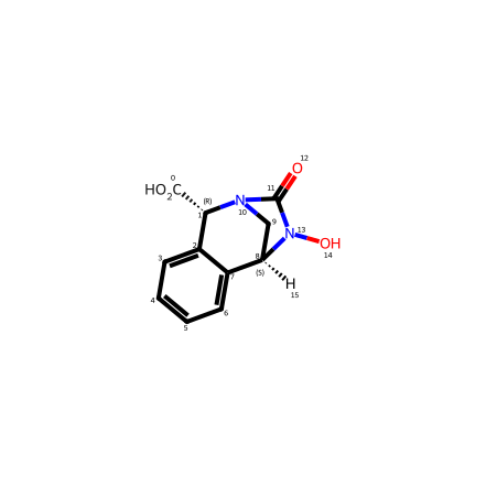 O=C(O)[C@H]1c2ccccc2[C@H]2CN1C(=O)N2O